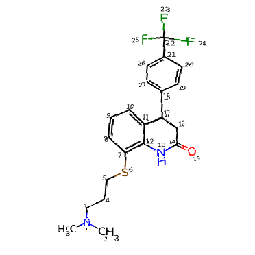 CN(C)CCCSc1cccc2c1NC(=O)CC2c1ccc(C(F)(F)F)cc1